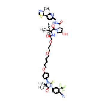 Cc1ncsc1-c1ccc(CNC(=O)[C@@H]2C[C@@H](O)CN2C(=O)C(NC(=O)COCCCOCCCCCOc2ccc(N3C(=S)N(c4ccc(C#N)c(C(F)(F)F)c4)C(=O)C3(C)C)cc2)C(C)(C)C)nc1